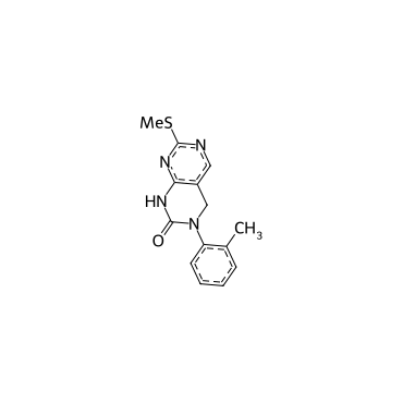 CSc1ncc2c(n1)NC(=O)N(c1ccccc1C)C2